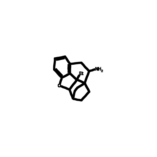 CCC12c3c4cccc3OC1C1CCC2(CC1)C(N)C4